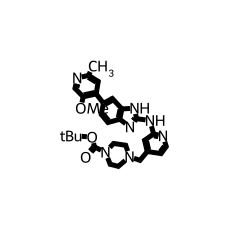 COc1cnc(C)cc1-c1ccc2nc(Nc3cc(CN4CCN(C(=O)OC(C)(C)C)CC4)ccn3)[nH]c2c1